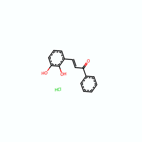 Cl.O=C(C=Cc1cccc(O)c1O)c1ccccc1